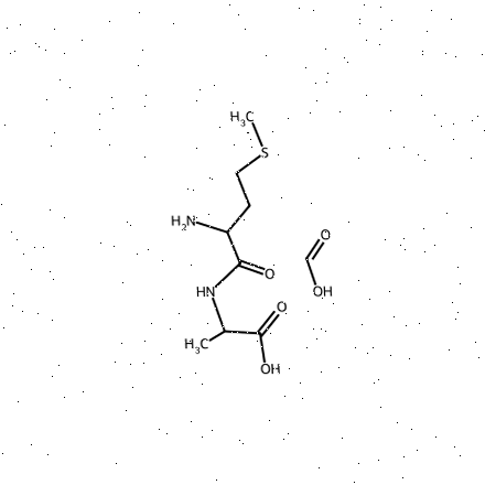 CSCCC(N)C(=O)NC(C)C(=O)O.O=CO